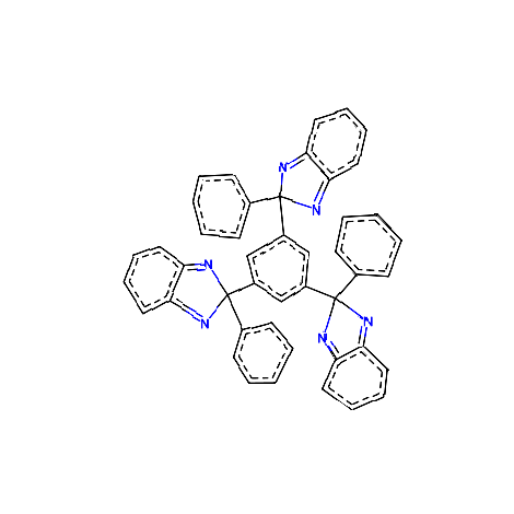 c1ccc(C2(c3cc(C4(c5ccccc5)N=c5ccccc5=N4)cc(C4(c5ccccc5)N=c5ccccc5=N4)c3)N=c3ccccc3=N2)cc1